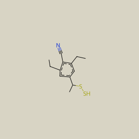 CCc1cc(C(C)SS)cc(CC)c1C#N